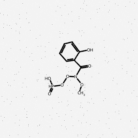 CON(OO[PH](=O)O)C(=O)c1ccccc1O